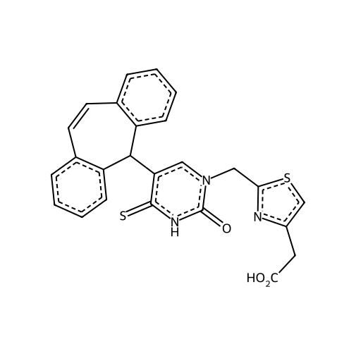 O=C(O)Cc1csc(Cn2cc(C3c4ccccc4C=Cc4ccccc43)c(=S)[nH]c2=O)n1